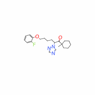 CC1(C(=O)C(CCCCOc2ccccc2F)n2cncn2)CCCCC1